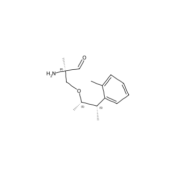 Cc1ccccc1[C@H](C)[C@H](C)OC[C@@](C)(N)C=O